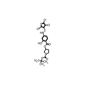 CC(C)(C)OC(=O)N1CCC(OC(=O)c2ccc(NSc3c(Cl)sc(Cl)c3Cl)cc2O)C1